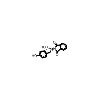 O=C(O)N(Cc1ccc(O)cc1)N1C(=O)c2ccccc2C1=O